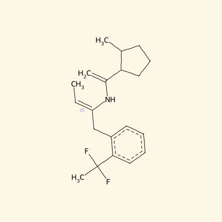 C=C(N/C(=C\C)Cc1ccccc1C(C)(F)F)C1CCCC1C